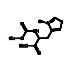 COC(=O)C(Cc1csc[n+]1[O-])NC(=O)OC(C)(C)C